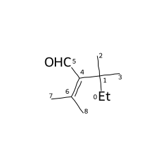 CCC(C)(C)C(C=O)=C(C)C